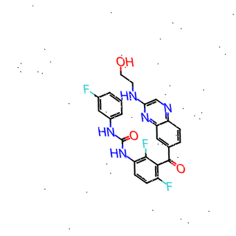 O=C(Nc1cccc(F)c1)Nc1ccc(F)c(C(=O)c2ccc3ncc(NCCO)nc3c2)c1F